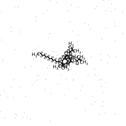 C/C=C(/C)C(=O)OCC1=C[C@@H]2C(=O)C3(C=C(C)[C@H](OC(=O)/C(C)=C\C)[C@@]3(O)[C@@H]1O)C(C)C[C@]1(OC(=O)CCCCCCCCCCC)[C@H]2C1(C)C